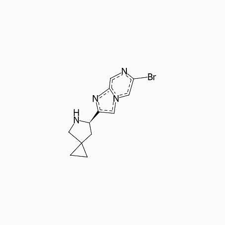 Brc1cn2cc([C@H]3CC4(CC4)CN3)nc2cn1